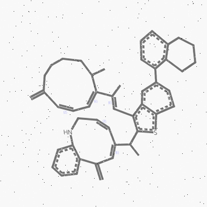 C=C1\C=C/C=C(/C(C)=C/c2c(C(C)C3=C/C(=C)c4ccccc4NC/C=C\3)sc3ccc(-c4cccc5c4CCCC5)cc23)C(C)CCCC1